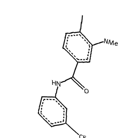 CNc1cc(C(=O)Nc2cccc(C(F)(F)F)c2)ccc1C